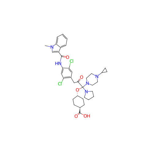 Cn1cc(C(=O)Nc2cc(Cl)c(CC(=O)C(O[C@H]3CC[C@H](C(=O)O)CC3)(N3CCCC3)N3CCN(C4CC4)CC3)cc2Cl)c2ccccc21